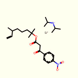 C=CC(C)CCCC(C)(C)OC(=O)CC(=O)c1ccc([N+](=O)[O-])cc1.CC(C)[N-]C(C)C.[Li+]